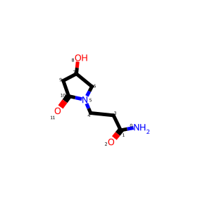 NC(=O)CCN1CC(O)CC1=O